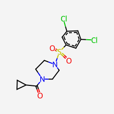 O=C(C1CC1)N1CCN(S(=O)(=O)c2cc(Cl)cc(Cl)c2)CC1